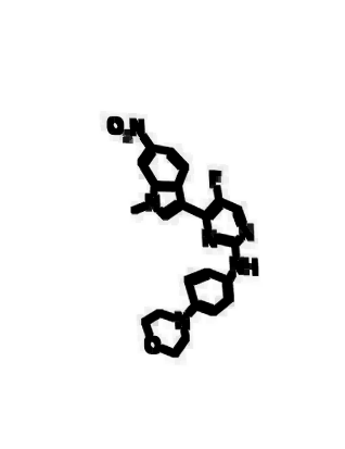 Cn1cc(-c2nc(Nc3ccc(N4CCOCC4)cc3)ncc2F)c2ccc([N+](=O)[O-])cc21